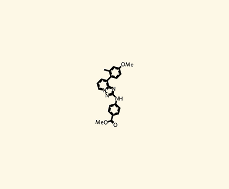 COC(=O)c1ccc(Nc2nc3c(-c4ccc(OC)cc4C)cccn3n2)cc1